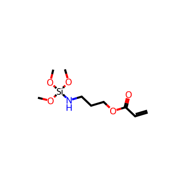 C=CC(=O)OCCCN[Si](OC)(OC)OC